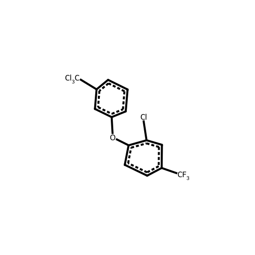 FC(F)(F)c1ccc(Oc2cccc(C(Cl)(Cl)Cl)c2)c(Cl)c1